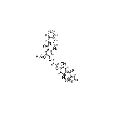 COc1cc2c(cc1OCCCOc1cc3c(cc1C)C(=O)N1CCC[C@H]1C=N3)N=CC1Cc3ccccc3CN1C2=O